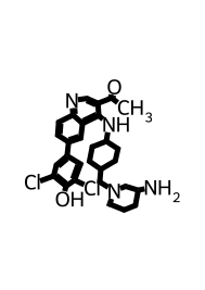 CC(=O)c1cnc2ccc(-c3cc(Cl)c(O)c(Cl)c3)cc2c1NC1CCC(CN2CCCC(N)C2)CC1